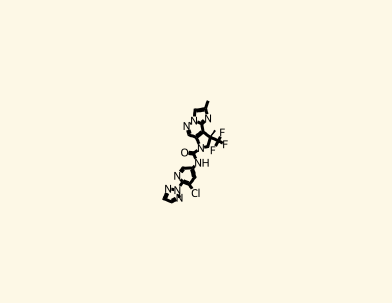 Cc1cn2ncc3c(c2n1)[C@](C)(C(F)(F)F)CN3C(=O)Nc1cnc(-n2nccn2)c(Cl)c1